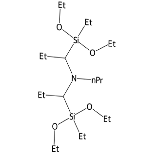 CCCN(C(CC)[Si](CC)(OCC)OCC)C(CC)[Si](CC)(OCC)OCC